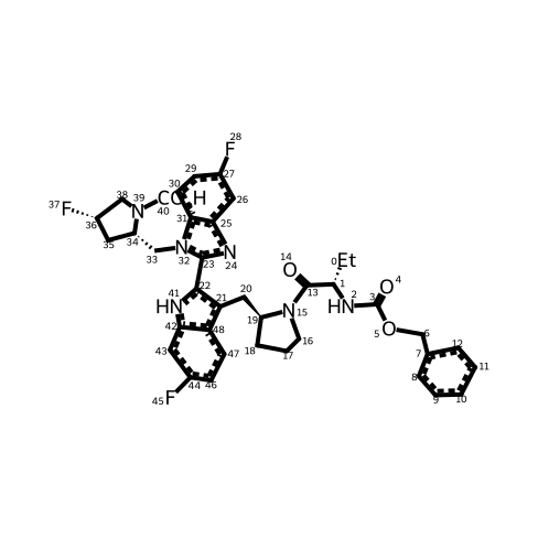 CC[C@H](NC(=O)OCc1ccccc1)C(=O)N1CCC[C@H]1Cc1c(-c2nc3cc(F)ccc3n2C[C@@H]2C[C@H](F)CN2C(=O)O)[nH]c2cc(F)ccc12